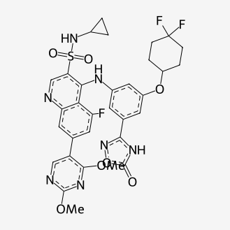 COc1ncc(-c2cc(F)c3c(Nc4cc(OC5CCC(F)(F)CC5)cc(-c5noc(=O)[nH]5)c4)c(S(=O)(=O)NC4CC4)cnc3c2)c(OC)n1